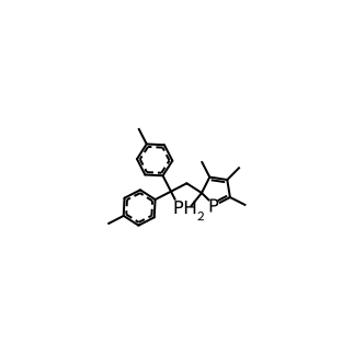 CC1=PC(C)(CC(P)(c2ccc(C)cc2)c2ccc(C)cc2)C(C)=C1C